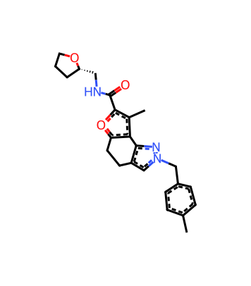 Cc1ccc(Cn2cc3c(n2)-c2c(oc(C(=O)NC[C@@H]4CCCO4)c2C)CC3)cc1